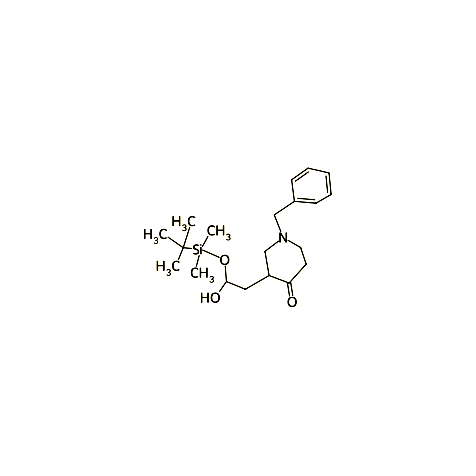 CC(C)(C)[Si](C)(C)OC(O)CC1CN(Cc2ccccc2)CCC1=O